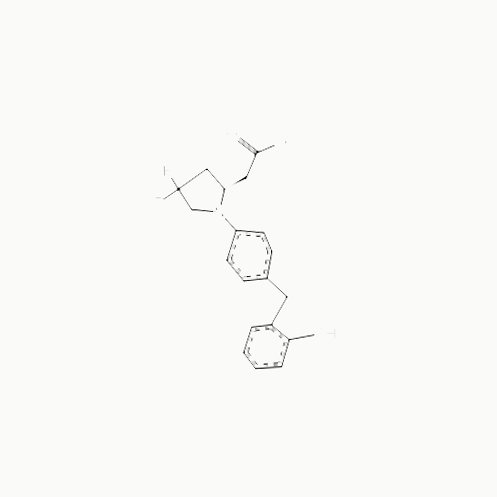 Cc1ccccc1Cc1ccc(N2CC(F)(F)C[C@H]2CC(=O)O)cc1